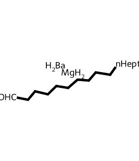 CCCCCCCCCCCCCCCCC=O.[BaH2].[MgH2]